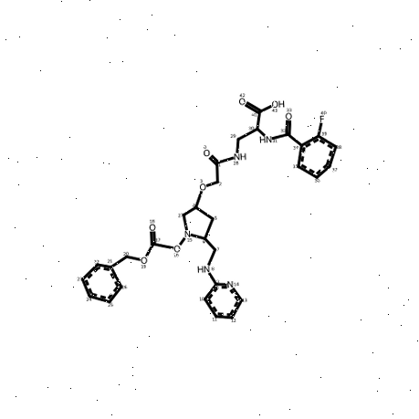 O=C(COC1CC(CNc2ccccn2)N(OC(=O)OCc2ccccc2)C1)NCC(NC(=O)c1ccccc1F)C(=O)O